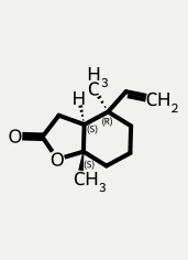 C=C[C@@]1(C)CCC[C@]2(C)OC(=O)C[C@@H]12